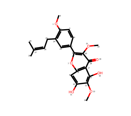 COc1ccc(-c2oc3cc(O)c(OC)c(O)c3c(=O)c2OC)cc1CC=C(C)C